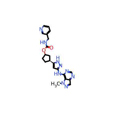 Cn1ncc2ncnc(Nc3cc([C@H]4CC[C@@H](OC(=O)NCc5cccnc5)C4)[nH]n3)c21